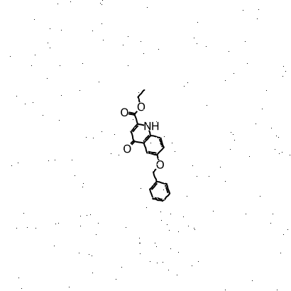 CCOC(=O)c1cc(=O)c2cc(OCc3ccccc3)ccc2[nH]1